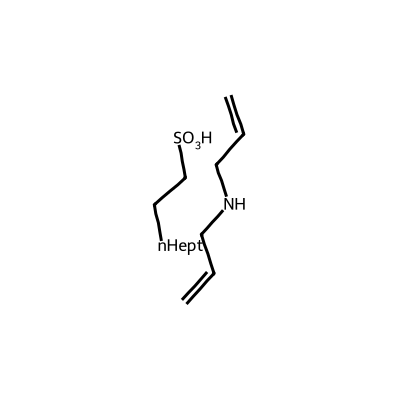 C=CCNCC=C.CCCCCCCCCS(=O)(=O)O